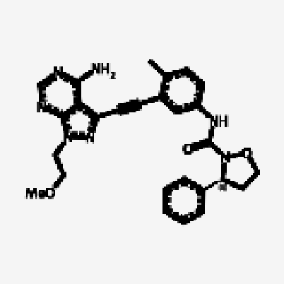 COCCn1nc(C#Cc2cc(NC(=O)N3OCC[C@@H]3c3ccccc3)ccc2C)c2c(N)ncnc21